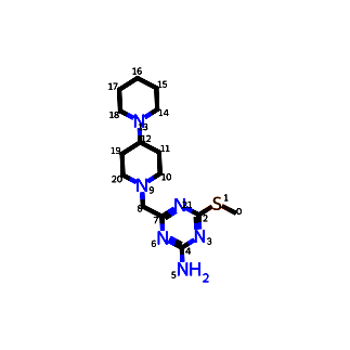 CSc1nc(N)nc(CN2CCC(N3CCCCC3)CC2)n1